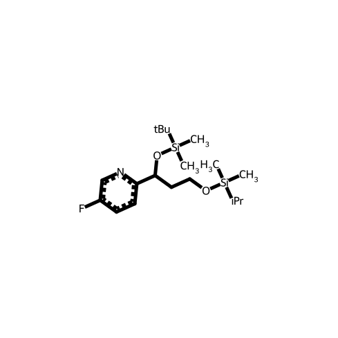 CC(C)[Si](C)(C)OCCC(O[Si](C)(C)C(C)(C)C)c1ccc(F)cn1